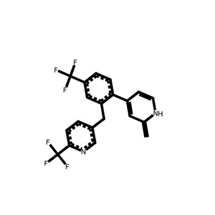 C=C1C=C(c2ccc(C(F)(F)F)cc2Cc2ccc(C(F)(F)F)nc2)C=CN1